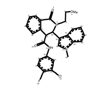 COCCN1C(=O)c2ccccc2C(C(=O)Nc2ccc(F)c(Cl)c2)C1c1cn(C)c2ccccc12